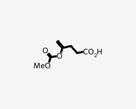 C=C(CCC(=O)O)OC(=O)OC